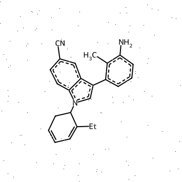 CCC1=CC=CCC1n1cc(-c2cccc(N)c2C)c2cc(C#N)ccc21